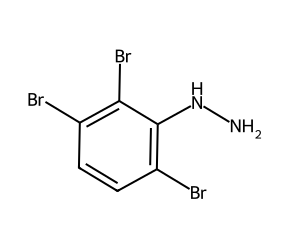 NNc1c(Br)ccc(Br)c1Br